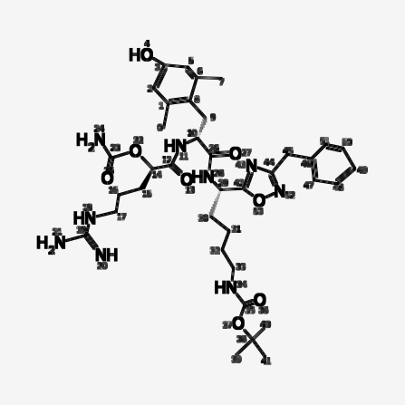 Cc1cc(O)cc(C)c1C[C@@H](NC(=O)[C@@H](CCCNC(=N)N)OC(N)=O)C(=O)N[C@@H](CCCCNC(=O)OC(C)(C)C)c1nc(Cc2ccccc2)no1